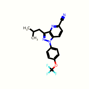 CC(C)Cc1nn(-c2ccc(OC(F)(F)F)cc2)c2ccc(C#N)nc12